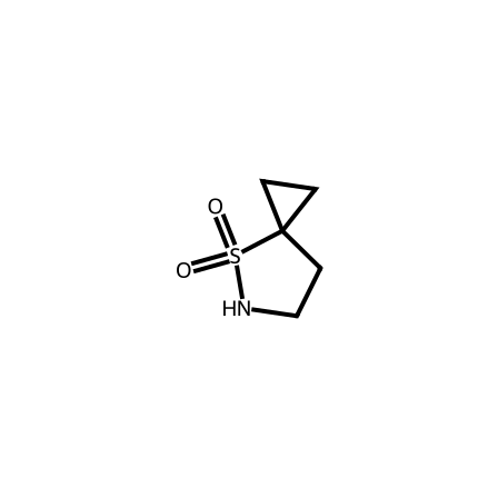 O=S1(=O)NCCC12CC2